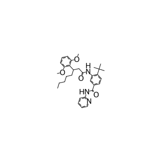 CCCCCC(CC(=O)Nc1cc(C(=O)Nc2ccccn2)ccc1C(C)(C)C)c1c(OC)cccc1OC